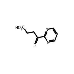 O=C(O)CCC(=O)c1ncccn1